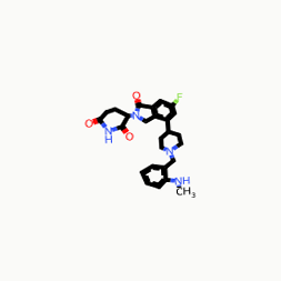 CNc1ccccc1CN1CCC(c2cc(F)cc3c2CN(C2CCC(=O)NC2=O)C3=O)CC1